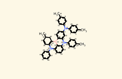 Cc1ccc(N(c2ccc(C)cc2)c2ccc3c(c2)N(c2ccc(C)cc2)c2cccc4c2B3C2=C(C=CC(C)C2)N4c2ccccc2)cc1